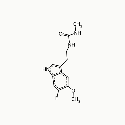 CNC(=O)NCCc1c[nH]c2cc(F)c(OC)cc12